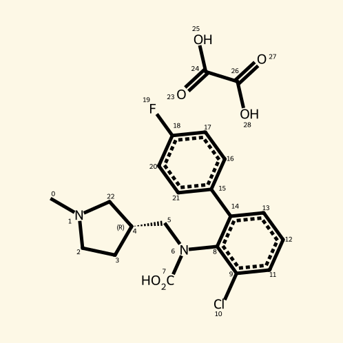 CN1CC[C@@H](CN(C(=O)O)c2c(Cl)cccc2-c2ccc(F)cc2)C1.O=C(O)C(=O)O